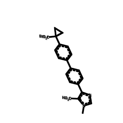 CCOC(=O)C1(c2ccc(-c3ccc(-c4ncn(C)c4C(=O)O)cc3)cc2)CC1